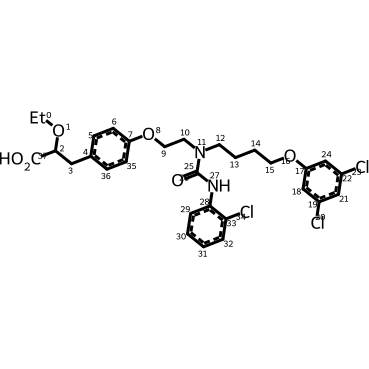 CCOC(Cc1ccc(OCCN(CCCCOc2cc(Cl)cc(Cl)c2)C(=O)Nc2ccccc2Cl)cc1)C(=O)O